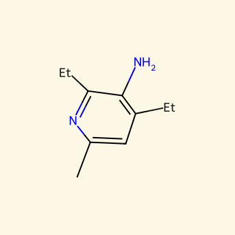 CCc1cc(C)nc(CC)c1N